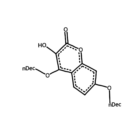 CCCCCCCCCCOc1ccc2c(OCCCCCCCCCC)c(O)c(=O)oc2c1